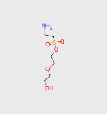 NCCS(=O)(=O)OCCOCCO